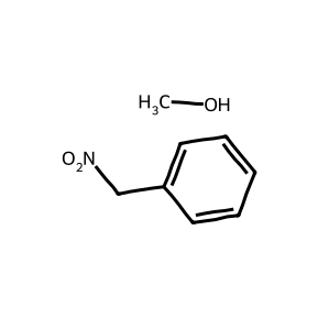 CO.O=[N+]([O-])Cc1ccccc1